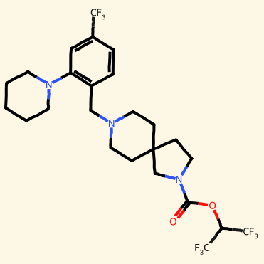 O=C(OC(C(F)(F)F)C(F)(F)F)N1CCC2(CCN(Cc3ccc(C(F)(F)F)cc3N3CCCCC3)CC2)C1